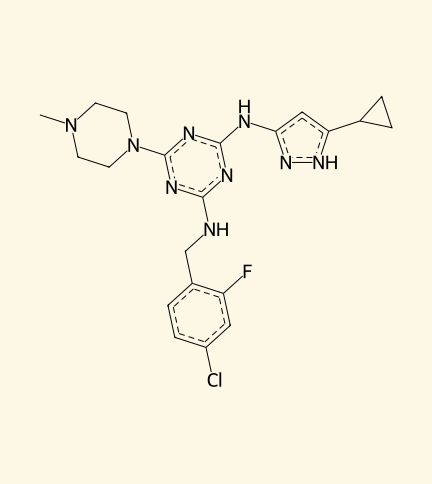 CN1CCN(c2nc(NCc3ccc(Cl)cc3F)nc(Nc3cc(C4CC4)[nH]n3)n2)CC1